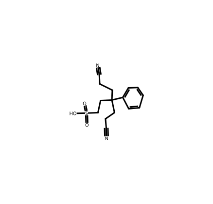 N#CCCC(CCC#N)(CCS(=O)(=O)O)c1ccccc1